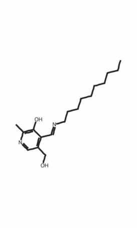 CCCCCCCCCCN=Cc1c(CO)cnc(C)c1O